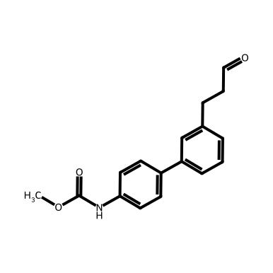 COC(=O)Nc1ccc(-c2cccc(CCC=O)c2)cc1